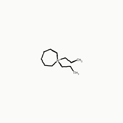 CCC[N+]1(CCC)CCCCCC1